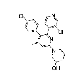 C=C/C=C(\N=C(/C(=C)c1ccc(Cl)cc1)c1ccncc1Cl)N1CCCC(O)C1